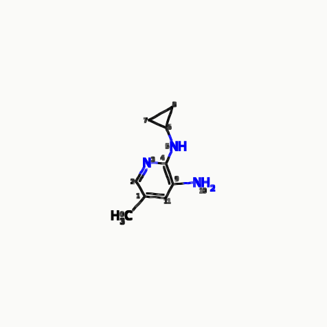 Cc1cnc(NC2CC2)c(N)c1